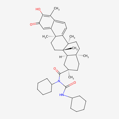 CC1=C(O)C(=O)C=C2C1=CC=C1[C@@]2(C)CC[C@@]2(C)[C@@H]3C[C@](C)(C(=O)N(C(=O)NC4CCCCC4)C4CCCCC4)CC[C@]3(C)CC[C@]12C